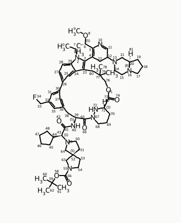 CCn1c(C2=C([C@H](C)OC)N=CC(N3CCN4CCC[C@@H]4C3)C2)c2c3cc(ccc31)-c1cc(CF)cc(c1)C[C@H](NC(=O)[C@H](C1CCCC1)N1CC[C@]3(CCN(C(=O)OC(C)(C)C)C3)C1)C(=O)N1CCC[C@H](N1)C(=O)OCC(C)(C)C2